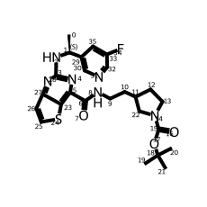 C[C@H](Nc1nc(C(=O)NCCC2CCN(C(=O)OC(C)(C)C)C2)c2sccc2n1)c1cncc(F)c1